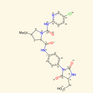 COC1CC(C(=O)Nc2ccc(N3C(=O)NC(CC(=O)O)C3=O)cc2)N(C(=O)Nc2ccc(Cl)cn2)C1